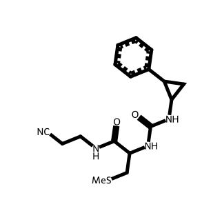 CSCC(NC(=O)NC1CC1c1ccccc1)C(=O)NCCC#N